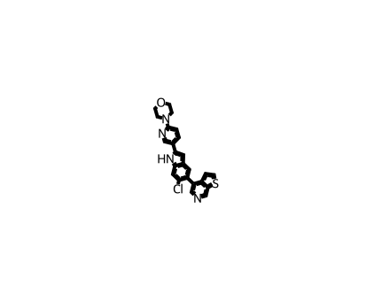 Clc1cc2[nH]c(-c3ccc(N4CCOCC4)nc3)cc2cc1-c1cncc2sccc12